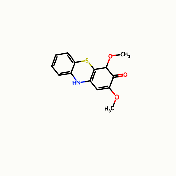 COC1=CC2=C(Sc3ccccc3N2)C(OC)C1=O